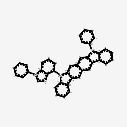 c1ccc(-n2cnc3c(-n4c5ccccc5c5cc6cc7c8ccccc8n(-c8ccccc8)c7cc6cc54)cccc32)cc1